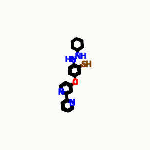 Sc1cc(Oc2ccnc(-c3ccccn3)c2)ccc1NNC1CCCCC1